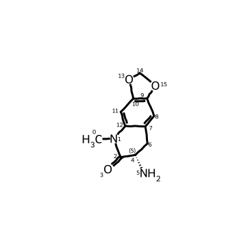 CN1C(=O)[C@@H](N)Cc2cc3c(cc21)OCO3